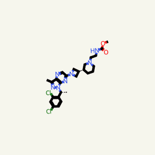 COC(=O)NCCN1CCC[C@H](C2CN(c3cnc4c(C)nn([C@H](C)c5ccc(Cl)cc5Cl)c4n3)C2)C1